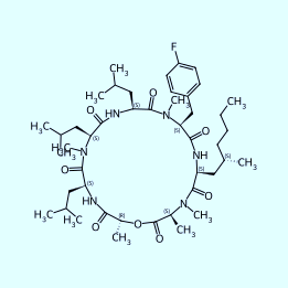 CCCC[C@H](C)C[C@@H]1NC(=O)[C@H](Cc2ccc(F)cc2)N(C)C(=O)[C@H](CC(C)C)NC(=O)[C@H](CC(C)C)N(C)C(=O)[C@H](CC(C)C)NC(=O)[C@@H](C)OC(=O)[C@H](C)N(C)C1=O